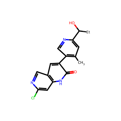 CCC(O)c1cc(C)c(-c2cc3cnc(Cl)cc3[nH]c2=O)cn1